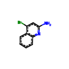 Nc1cc(Br)c2ccccc2n1